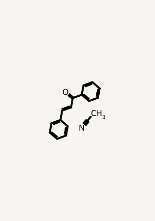 CC#N.O=C(C=Cc1ccccc1)c1ccccc1